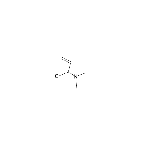 C=CC(Cl)N(C)C